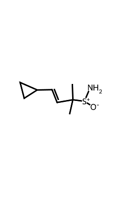 CC(C)(C=CC1CC1)[S+](N)[O-]